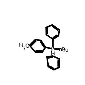 CCCC[PH](c1ccccc1)(c1ccccc1)c1ccccc1.O